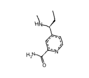 CC[C@H](NC)c1ccnc(C(N)=O)c1